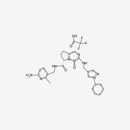 Cc1nc(N)ccc1CNC(=O)[C@@H]1CCc2cnc(NCc3cnn(-c4ccccc4)c3)c(=O)n21.O=C(O)C(F)(F)F